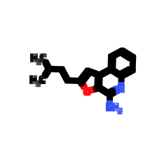 CC(C)CCc1cc2c(o1)c(N)nc1ccccc12